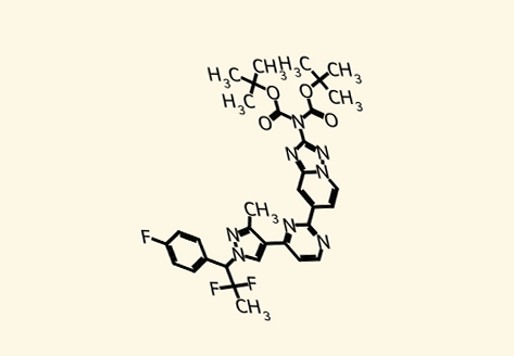 Cc1nn(C(c2ccc(F)cc2)C(C)(F)F)cc1-c1ccnc(-c2ccn3nc(N(C(=O)OC(C)(C)C)C(=O)OC(C)(C)C)nc3c2)n1